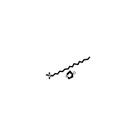 CCCCCCCCCCCCCCCC[N+](C)(C)C.O.c1ccncc1